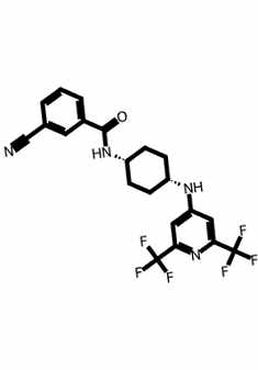 N#Cc1cccc(C(=O)N[C@H]2CC[C@@H](Nc3cc(C(F)(F)F)nc(C(F)(F)F)c3)CC2)c1